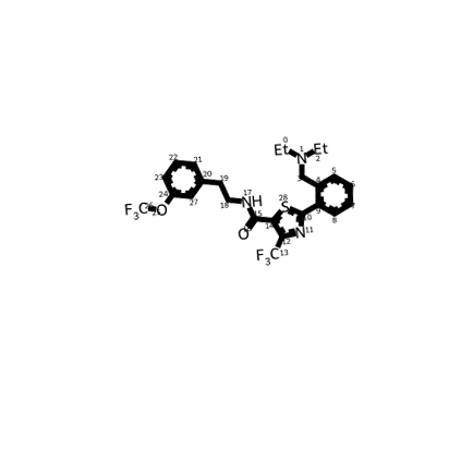 CCN(CC)Cc1ccccc1-c1nc(C(F)(F)F)c(C(=O)NCCc2cccc(OC(F)(F)F)c2)s1